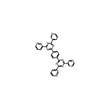 c1cncc(-c2nc(-c3ccc(-c4nc(-c5cccnc5)nc(-c5cccnc5)n4)cc3)nc(-c3cccnc3)n2)c1